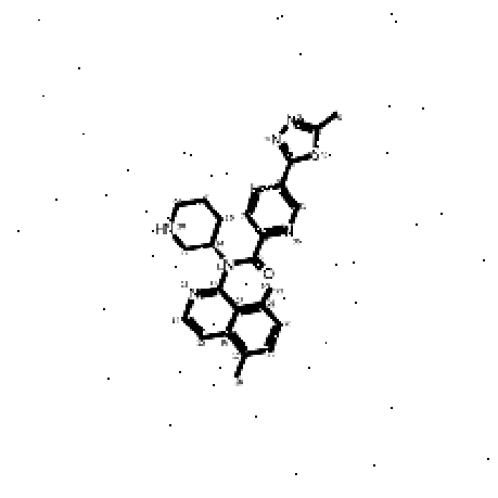 Cc1nnc(-c2ccc(C(=O)N(c3nccc4c(C)ccc(C)c34)[C@@H]3CCCNC3)nc2)s1